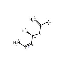 C=C(C[C@H](S)/C=C\N)C(C)=O